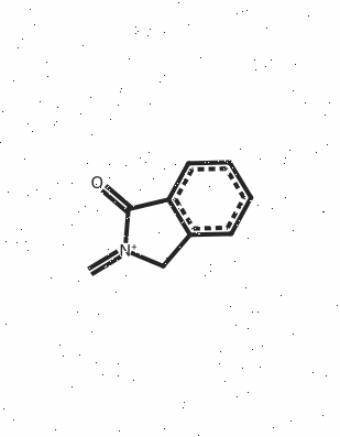 C=[N+]1Cc2ccccc2C1=O